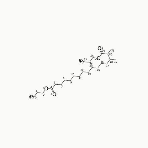 CC(C)CCOC(=O)CCCCCCCCCCCCC(C)C(C)C(=O)OCCC(C)C